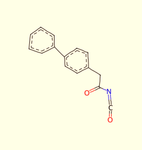 O=C=NC(=O)Cc1ccc(-c2ccccc2)cc1